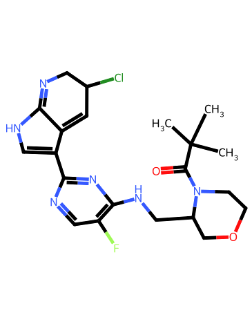 CC(C)(C)C(=O)N1CCOCC1CNc1nc(-c2c[nH]c3c2=CC(Cl)CN=3)ncc1F